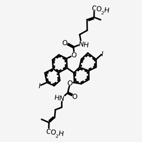 C/C(=C\CCNC(=O)Oc1ccc2cc(I)ccc2c1-c1c(OC(=O)NCC/C=C(\C)C(=O)O)ccc2cc(I)ccc12)C(=O)O